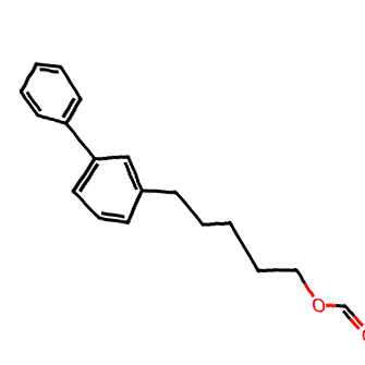 O=COCCCCCc1cccc(-c2ccccc2)c1